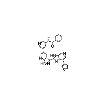 O=C(Nc1cncc(-c2cnc3[nH]nc(-c4nc5c(-c6ccsc6)cncc5[nH]4)c3c2)c1)c1ccccc1